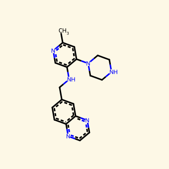 Cc1cc(N2CCNCC2)c(NCc2ccc3nccnc3c2)cn1